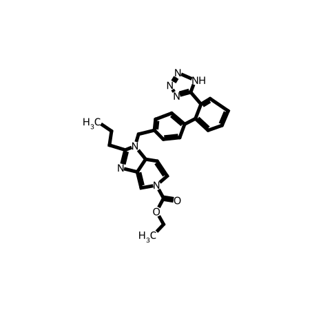 CCCC1=NC2=CN(C(=O)OCC)C=CC2N1Cc1ccc(-c2ccccc2-c2nnn[nH]2)cc1